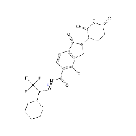 O=C1CCC(N2Cc3c(ccc(C(=O)/N=C/C(C4CCCCC4)C(F)(F)F)c3F)C2=O)C(=O)N1